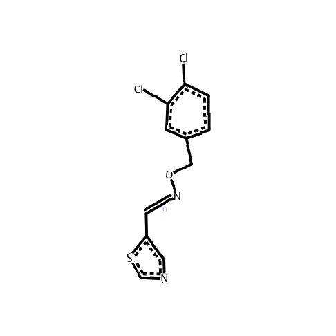 Clc1ccc(CO/N=C/c2cncs2)cc1Cl